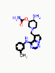 Cc1cccc(Nc2ncnn3ccc(CN4CC[C@@H](N)[C@@H](OC(N)=O)C4)c23)c1